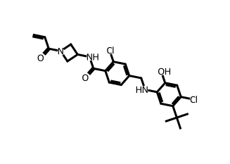 C=CC(=O)N1CC(NC(=O)c2ccc(CNc3cc(C(C)(C)C)c(Cl)cc3O)cc2Cl)C1